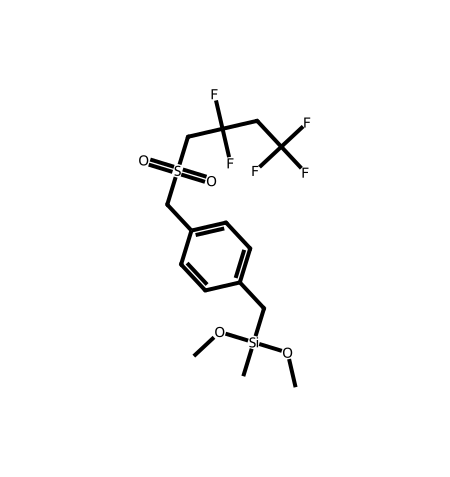 CO[Si](C)(Cc1ccc(CS(=O)(=O)CC(F)(F)CC(F)(F)F)cc1)OC